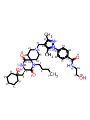 CCCCN1C(=O)[C@@H](CC2(O)CCCCC2)NC(=O)C12CCN(Cc1c(C)nn(-c3ccc(C(=O)NCCO)cc3)c1C)CC2